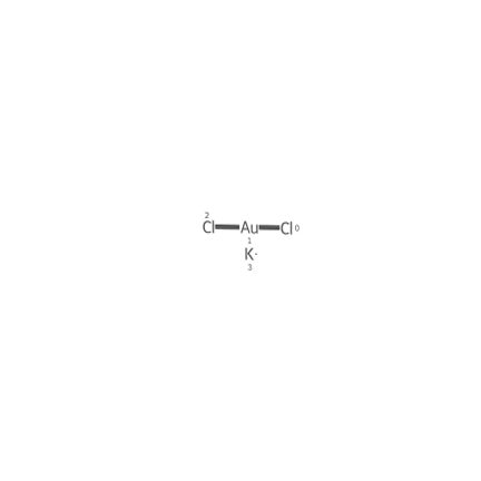 [Cl][Au][Cl].[K]